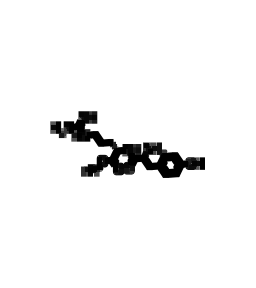 CCCOC(=O)[C@H](CCCNC(=N)N)NC(=O)[C@@H](N)Cc1ccc(O)cc1